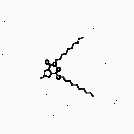 CCCCCCCCCCOC(=O)C1CC(C)CC1C(=O)OCCCCCCCCCC